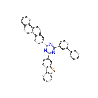 c1ccc(-c2cccc(-c3nc(-c4ccc5c(ccc6c7ccccc7ccc56)c4)nc(-c4ccc5c(c4)sc4ccccc45)n3)c2)cc1